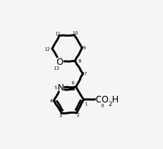 O=C(O)c1cccnc1CC1CCCCO1